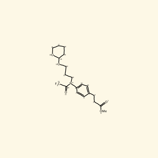 COC(=O)CCc1ccc(N(CCCOC2CCCCO2)C(=O)C(F)(F)F)cc1